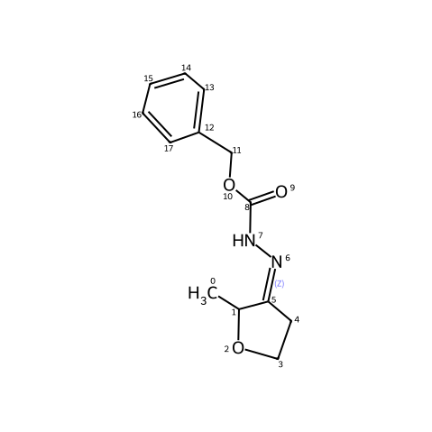 CC1OCC/C1=N/NC(=O)OCc1ccccc1